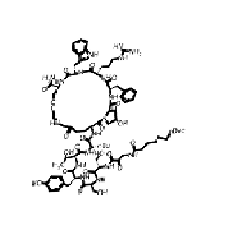 CCCCCCCCCCCCCCCC(=O)NCC(=O)C(=O)N[C@@H](CO)C(=O)N[C@@H](CO)C(=O)N[C@@H](Cc1ccc(O)cc1)C(=O)N[C@H](C(=O)N[C@@H](CCCC)C(=O)N[C@H]1CCC(=O)CNCCCC[C@@H](C(N)=O)NC(=O)[C@H](Cc2c[nH]c3ccccc23)NC(=O)[C@H](CCCNC(=N)N)NC(=O)[C@@H](Cc2ccccc2)NC(=O)[C@@H]2C[C@@H](O)CN2C1=O)C(C)O